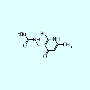 Cc1cc(=O)c(CNC(=O)C(C)(C)C)c(Br)[nH]1